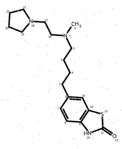 CN(CCCCc1ccc2[nH]c(=O)sc2c1)CCN1CCCC1